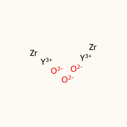 [O-2].[O-2].[O-2].[Y+3].[Y+3].[Zr].[Zr]